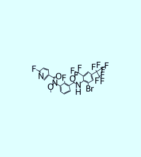 CON(C(=O)c1ccc(F)nc1)c1cccc(C(=O)Nc2c(Br)cc(C(F)(C(F)(F)F)C(F)(F)F)cc2C(F)(F)F)c1F